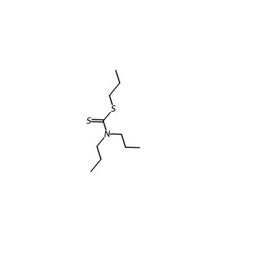 CCCSC(=S)N(CCC)CCC